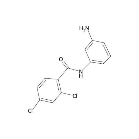 Nc1cccc(NC(=O)c2ccc(Cl)cc2Cl)c1